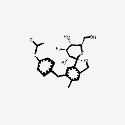 Cc1cc2c(cc1Cc1ccc(OC(F)F)cc1)[C@]1(OC2)S[C@H](CO)[C@@H](O)[C@H](O)[C@H]1O